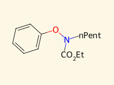 CCCCCN(Oc1ccccc1)C(=O)OCC